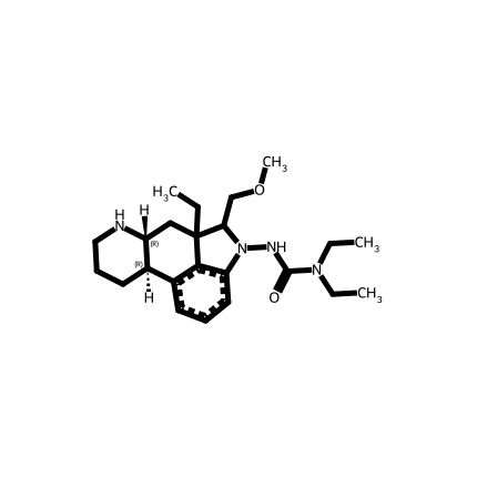 CCN(CC)C(=O)NN1c2cccc3c2C(CC)(C[C@H]2NCCC[C@H]32)C1COC